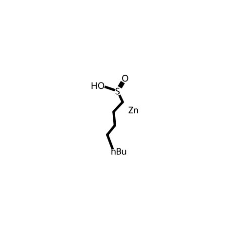 CCCCCCCCS(=O)O.[Zn]